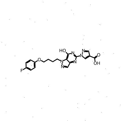 O=C(O)c1cnn(-c2nc(O)c3c(cnn3CCCCOc3ccc(F)cc3)n2)c1